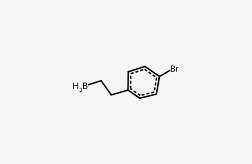 BCCc1ccc(Br)cc1